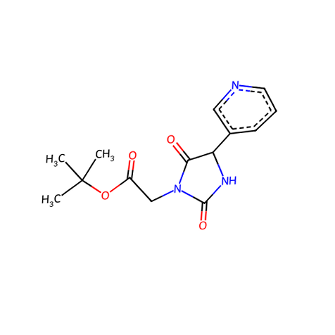 CC(C)(C)OC(=O)CN1C(=O)NC(c2cccnc2)C1=O